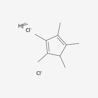 CC1=C(C)C(C)C(C)=C1C.[Cl-].[Cl-].[Hf+2]